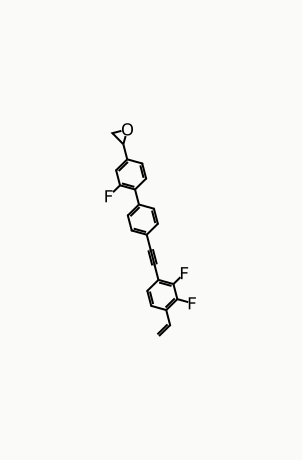 C=Cc1ccc(C#Cc2ccc(-c3ccc(C4CO4)cc3F)cc2)c(F)c1F